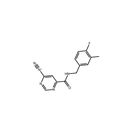 Cc1cc(CNC(=O)c2cc([N+]#N)ncn2)ccc1F